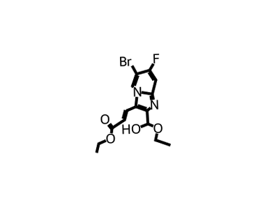 CCOC(=O)/C=C/c1c(C(O)OCC)nc2cc(F)c(Br)cn12